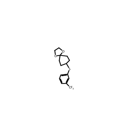 FC(F)(F)c1cccc(SC2CCC3(CC2)OCCO3)c1